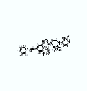 Cc1nccc(N2CCN3C(=O)N(c4c(F)cc(C#Cc5ccccc5)cc4F)C(=O)C[C@@]3(C)C2=O)n1